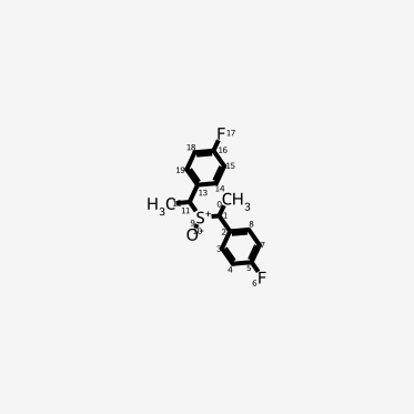 CC(c1ccc(F)cc1)[S+]([O-])C(C)c1ccc(F)cc1